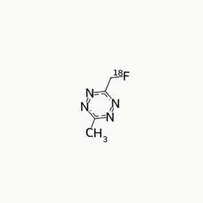 Cc1nnc(C[18F])nn1